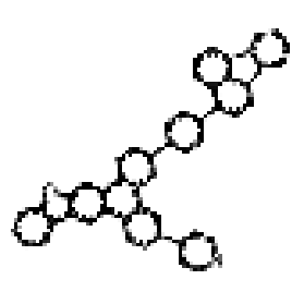 c1ccc2c(c1)-c1cccc3c(-c4ccc(-c5ccc6c(c5)c5cc(-c7ccncc7)ccc5c5cc7c(cc65)oc5ccccc57)cc4)ccc-2c13